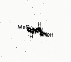 COc1ccc2c(c1)[C@]1(C[C@H]1c1ccc3c(-c4cccc(CCO)c4)n[nH]c3c1)C(=O)N2